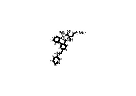 CSCCC(NC(=O)c1ccc(CNc2cccnc2)cc1-c1ccccc1)C(=O)OC(C)C